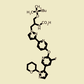 CC(C)(C)[Si](C)(C)OCC(Cn1ccc(-c2ccc(Oc3ncc(-c4ccnn4C4CCCCO4)cc3F)cn2)n1)NC(=O)O